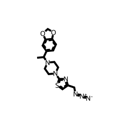 CC(c1ccc2c(c1)OCO2)N1CCN(c2nc(CN=[N+]=[N-])cs2)CC1